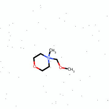 COC[N+]1(C)CCOCC1